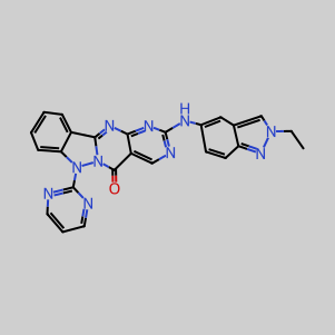 CCn1cc2cc(Nc3ncc4c(=O)n5c(nc4n3)c3ccccc3n5-c3ncccn3)ccc2n1